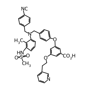 [C-]#[N+]c1ccc(CN(Cc2ccc(Oc3cc(OCCc4cccnc4)cc(C(=O)O)c3)cc2)c2cccc(NS(C)(=O)=O)c2C)cc1